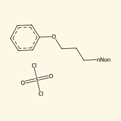 CCCCCCCCCCCCOc1ccccc1.O=S(=O)(Cl)Cl